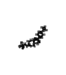 FC(F)(F)CCN1CCc2cnc(N3CCN(C4CCC4)CC3)nc2CC1